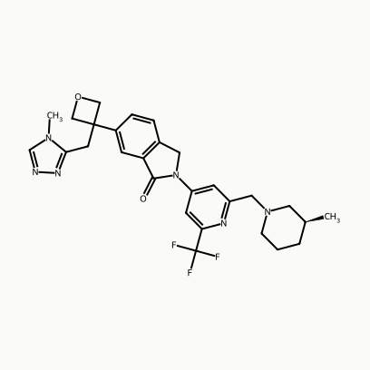 C[C@H]1CCCN(Cc2cc(N3Cc4ccc(C5(Cc6nncn6C)COC5)cc4C3=O)cc(C(F)(F)F)n2)C1